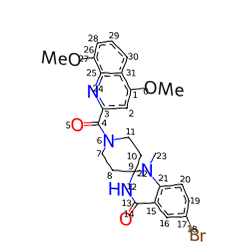 COc1cc(C(=O)N2CCC3(CC2)NC(=O)c2cc(Br)ccc2N3C)nc2c(OC)cccc12